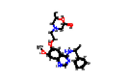 CCOc1cc2ncnc(NC(C)c3ccccc3)c2cc1OCCN1CC(=O)OC(C)C1